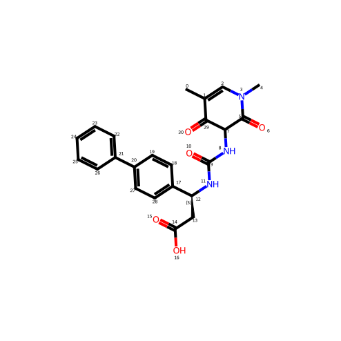 CC1=CN(C)C(=O)C(NC(=O)N[C@@H](CC(=O)O)c2ccc(-c3ccccc3)cc2)C1=O